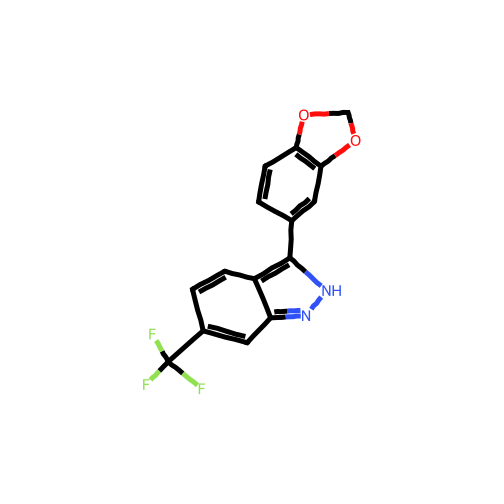 FC(F)(F)c1ccc2c(-c3ccc4c(c3)OCO4)[nH]nc2c1